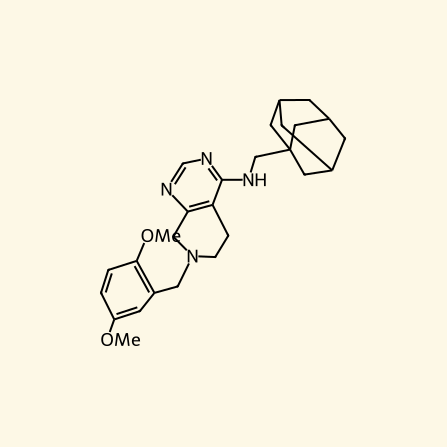 COc1ccc(OC)c(CN2CCc3c(ncnc3NCC34CC5CC(CC(C5)C3)C4)C2)c1